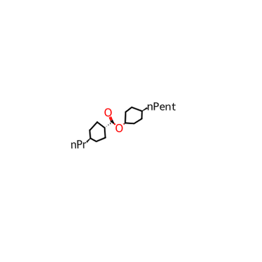 CCCCC[C@H]1CC[C@H](OC(=O)[C@H]2CC[C@H](CCC)CC2)CC1